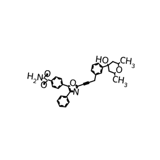 CC1CC(O)(c2cccc(CC#Cc3nc(-c4ccccc4)c(-c4ccc(S(N)(=O)=O)cc4)o3)c2)CC(C)O1